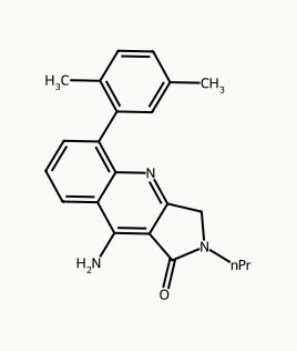 CCCN1Cc2nc3c(-c4cc(C)ccc4C)cccc3c(N)c2C1=O